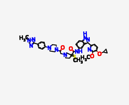 COc1nc(-c2n[nH]c3ccc(NC(=O)[C@]4(SC)CCN(CC(=O)N5CCN(c6ccc(-c7ncn(C)n7)cc6)CC5)C4)cc23)ccc1OC1CC1